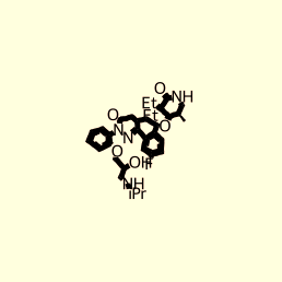 CC(C)NCC(O)COc1ccccc1N1N=C2c3cc(F)ccc3CCC2CC1=O.CCC1(CC)C(=O)NC[C@@H](C)C1=O